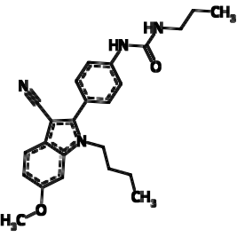 CCCCn1c(-c2ccc(NC(=O)NCCC)cc2)c(C#N)c2ccc(OC)cc21